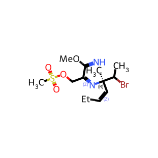 CC/C=C\[C@@](C)(/N=C(/COS(C)(=O)=O)C(=N)OC)C(C)Br